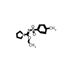 CCO/C(=N\S(=O)(=O)c1ccc(C)cc1)N1CCCC1